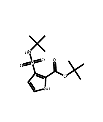 CC(C)(C)NS(=O)(=O)c1cc[nH]c1C(=O)OC(C)(C)C